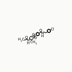 C=CC(=O)NC1CCN(S(=O)(=O)c2ccc(C(=O)NCCc3ccc(Cl)cc3)cc2)CC1C